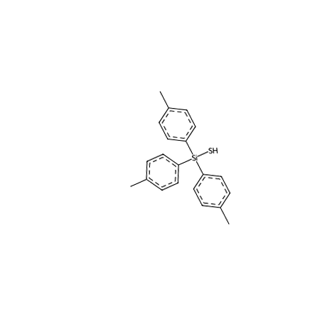 Cc1ccc([Si](S)(c2ccc(C)cc2)c2ccc(C)cc2)cc1